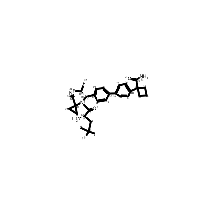 CC(C)(F)C[C@H](N)C(=O)N([C@@H](c1ccc(-c2ccc(C3(C(N)=O)CCC3)cc2)cc1)C(F)F)C1(C#N)CC1